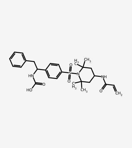 C=CC(=O)NC1CC(C)(C)N(S(=O)(=O)c2ccc(C(Cc3ccccc3)NC(=O)O)cc2)C(C)(C)C1